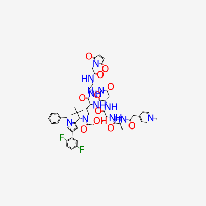 C=N/C=C\C(=C/C)CC(=O)N[C@@H](C)C(=O)N[C@H](C)C(=O)N[C@@H](CC(N)=O)C(=O)N[C@@H](CCN(C(=O)CO)[C@@H](c1cc(-c2cc(F)ccc2F)cn1Cc1ccccc1)C(C)(C)C)C(=O)NCCNC(=O)CN1C(=O)C=CC1=O